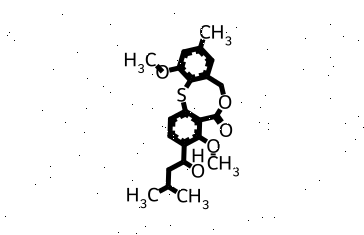 COc1cc(C)cc2c1Sc1ccc(C(O)CC(C)C)c(OC)c1C(=O)OC2